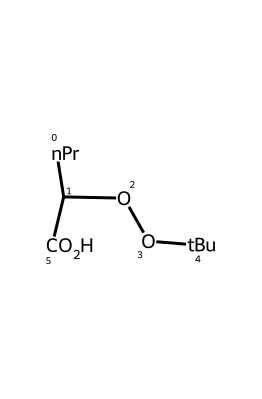 CCCC(OOC(C)(C)C)C(=O)O